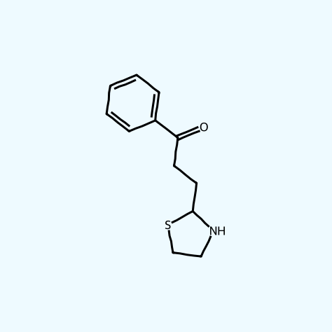 O=C(CCC1NCCS1)c1ccccc1